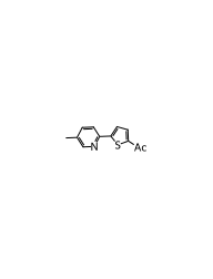 CC(=O)c1ccc(-c2ccc(C)cn2)s1